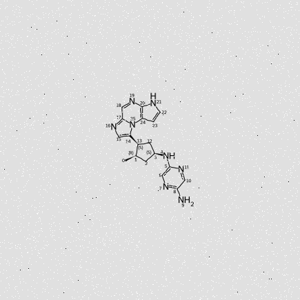 C[C@@H]1C[C@H](Nc2cnc(N)cn2)C[C@@H]1c1cnc2cnc3[nH]ccc3n12